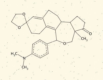 CN(C)c1ccc(C2OCC3(C)C(=O)CCC3C3CCC4=CC5(CCC4=C23)OCCO5)cc1